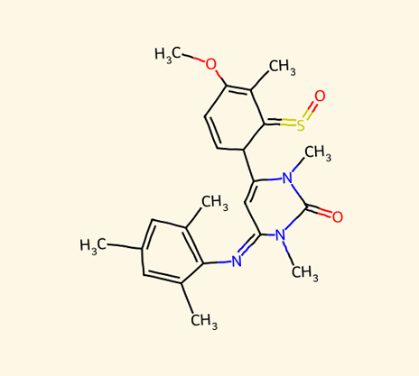 COC1=C(C)C(=S=O)C(c2cc(=Nc3c(C)cc(C)cc3C)n(C)c(=O)n2C)C=C1